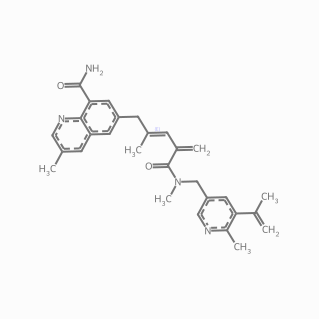 C=C(/C=C(\C)Cc1cc(C(N)=O)c2ncc(C)cc2c1)C(=O)N(C)Cc1cnc(C)c(C(=C)C)c1